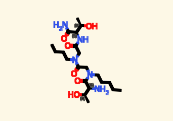 CCCCCN(CC(=O)N(CCCC)CC(=O)N[C@H](C(N)=O)[C@@H](C)O)C(=O)[C@@H](N)[C@@H](C)O